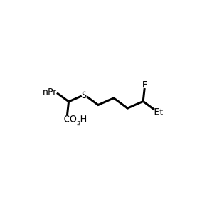 CCCC(SCCCC(F)CC)C(=O)O